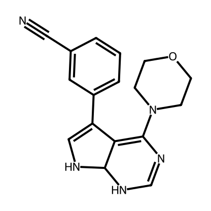 N#Cc1cccc(C2=CNC3NC=NC(N4CCOCC4)=C23)c1